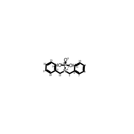 O=P(O)(O)N(Cc1ccccc1)Cc1ccccc1